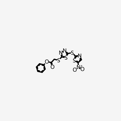 O=C(CSc1nnc(Sc2ncc([N+](=O)[O-])s2)s1)Oc1ccccc1